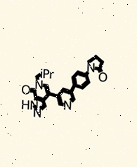 CC(C)Cn1cc(-c2cncc(-c3ccc(N4CCCC4=O)cc3)c2)c2cn[nH]c2c1=O